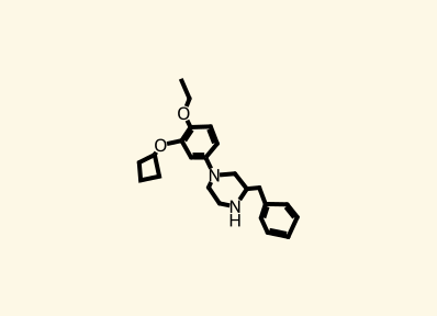 CCOc1ccc(N2CCNC(Cc3ccccc3)C2)cc1OC1CCC1